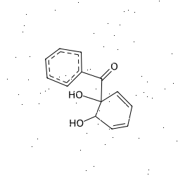 O=C(c1ccccc1)C1(O)C=CC=CC1O